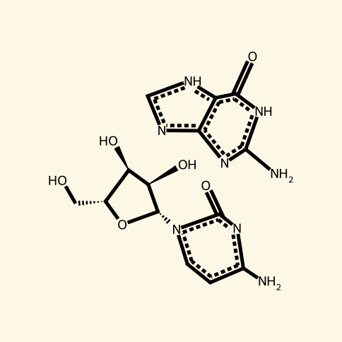 Nc1ccn([C@@H]2O[C@H](CO)[C@@H](O)[C@H]2O)c(=O)n1.Nc1nc2nc[nH]c2c(=O)[nH]1